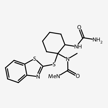 CNC(=O)N(C)C1(Sc2nc3ccccc3s2)CCCCC1NC(N)=O